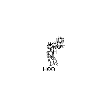 CCC1(CCC(=O)O)CCC(C)(c2ccc(-c3onc(C)c3NC(=O)O[C@H](C)c3ccccc3)cc2)OC1